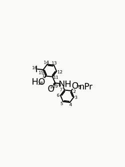 CCCOc1ccccc1NC(=O)c1cccc(I)c1O